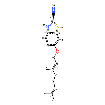 CC(C)=CCC/C(C)=C/COc1ccc2nc(C#N)sc2c1